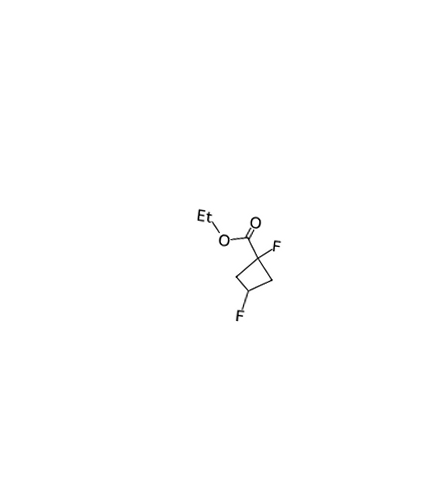 CCOC(=O)C1(F)CC(F)C1